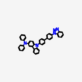 c1ccc(N(c2ccccc2)c2ccc3c(c2)c2ccccc2n3-c2ccc(-c3ccc(-n4nnc5ccccc54)cc3)cc2)cc1